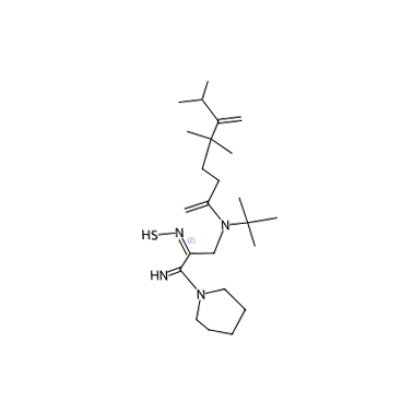 C=C(CCC(C)(C)C(=C)C(C)C)N(C/C(=N/S)C(=N)N1CCCCC1)C(C)(C)C